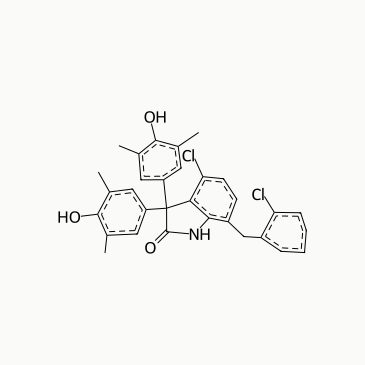 Cc1cc(C2(c3cc(C)c(O)c(C)c3)C(=O)Nc3c(Cc4ccccc4Cl)ccc(Cl)c32)cc(C)c1O